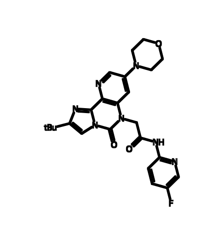 CC(C)(C)c1cn2c(=O)n(CC(=O)Nc3ccc(F)cn3)c3cc(N4CCOCC4)cnc3c2n1